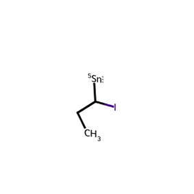 CC[CH]([5Sn])I